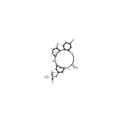 C[C@@H]1CCOc2cc(F)ccc2-c2nc(ncc2F)Nc2cc(C[S@](C)(=N)=O)cc(c2)O1